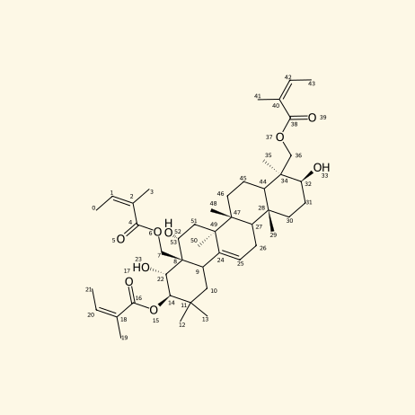 C/C=C(/C)C(=O)OC[C@@]12C(CC(C)(C)[C@@H](OC(=O)/C(C)=C\C)[C@@H]1O)C1=CCC3[C@@]4(C)CC[C@H](O)[C@](C)(COC(=O)/C(C)=C\C)C4CC[C@@]3(C)[C@]1(C)C[C@H]2O